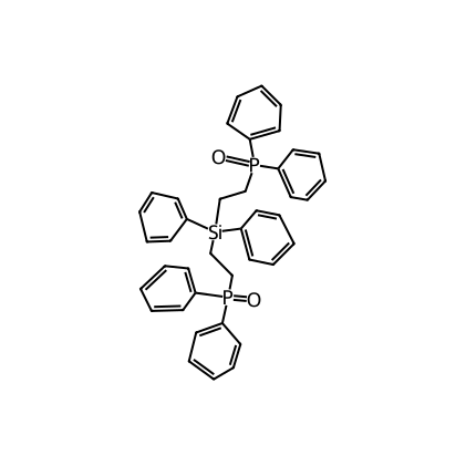 O=P(CC[Si](CCP(=O)(c1ccccc1)c1ccccc1)(c1ccccc1)c1ccccc1)(c1ccccc1)c1ccccc1